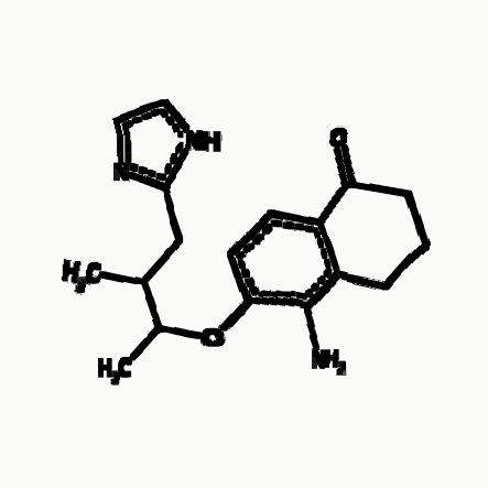 CC(Cc1ncc[nH]1)C(C)Oc1ccc2c(c1N)CCCC2=O